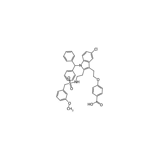 COc1cccc(CS(=O)(=O)NCCc2c(CCOc3ccc(C(=O)O)cc3)c3cc(Cl)ccc3n2C(c2ccccc2)c2ccccc2)c1